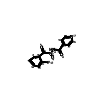 O=C(NN(Cl)C(=O)c1ccccc1F)c1ccncc1